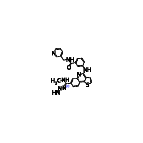 CN/C(=N\N=N)c1ccc2c(c1)nc(Nc1cccc(C(=O)NCc3cccnc3)c1)c1ccsc12